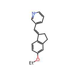 CCOc1ccc2c(c1)CC/C2=C\c1cccnc1